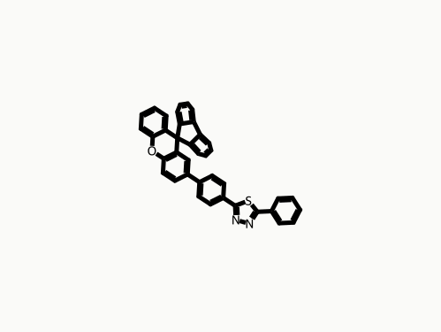 c1ccc(-c2nnc(-c3ccc(-c4ccc5c(c4)C4(c6ccccc6O5)c5ccccc5-c5ccccc54)cc3)s2)cc1